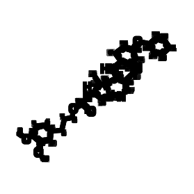 COc1ccc(CCCOC(=O)Nc2cn3ncc(C#N)c(Nc4ccc(Oc5ccccc5)cc4)c3c2C)cc1OC